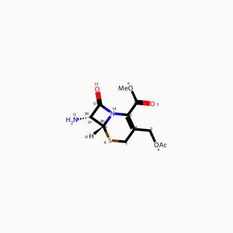 COC(=O)C1=C(COC(C)=O)CS[C@@H]2[C@H](N)C(=O)N12